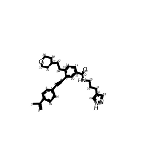 C=C(C)c1ccc(C#Cc2cc(C(=O)NCCCc3cn[nH]c3)ccc2CCC2CCOCC2)cc1